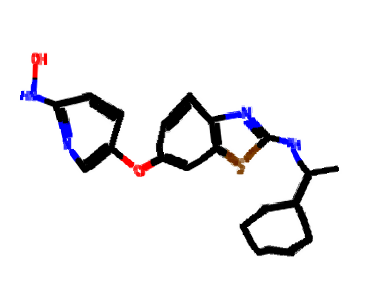 CC(Nc1nc2ccc(Oc3ccc(NO)nc3)cc2s1)C1CCCCC1